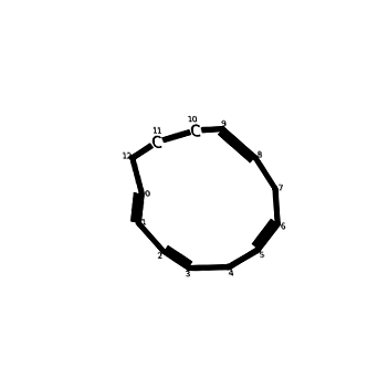 [C]1=C/C=C\C/C=C\C/C=C\CCC/1